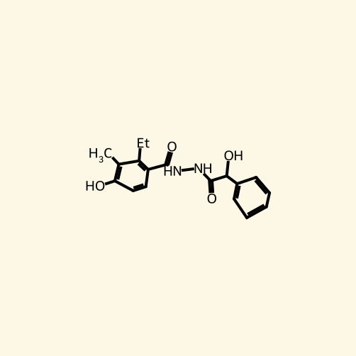 CCc1c(C(=O)NNC(=O)C(O)c2ccccc2)ccc(O)c1C